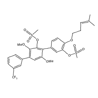 COc1cc(-c2cccc(C(F)(F)F)c2)c(OC)c(OS(C)(=O)=O)c1-c1ccc(OCCC=C(C)C)c(OS(C)(=O)=O)c1